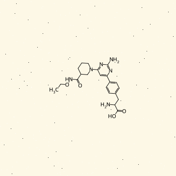 CCONC(=O)C1CCCN(c2cc(-c3ccc(CC(N)C(=O)O)cc3)nc(N)n2)C1